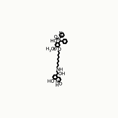 COc1ccc([C@@H](c2ccccc2)N(C(=O)O)C2CN3CCC2CC3)cc1OCCCCCCCCCNC[C@H](O)c1ccc(O)c2[nH]c(=O)ccc12